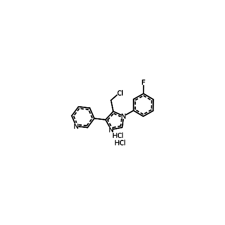 Cl.Cl.Fc1cccc(-n2cnc(-c3cccnc3)c2CCl)c1